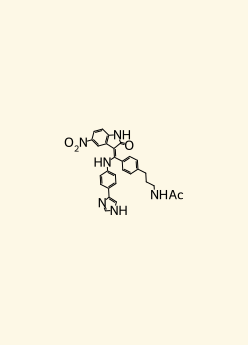 CC(=O)NCCCc1ccc(C(Nc2ccc(-c3c[nH]cn3)cc2)=C2C(=O)Nc3ccc([N+](=O)[O-])cc32)cc1